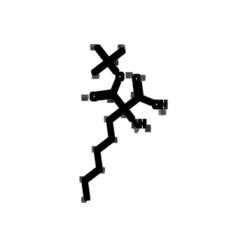 CCCCCCC(N)(C(=O)O)C(=O)OC(C)(C)C